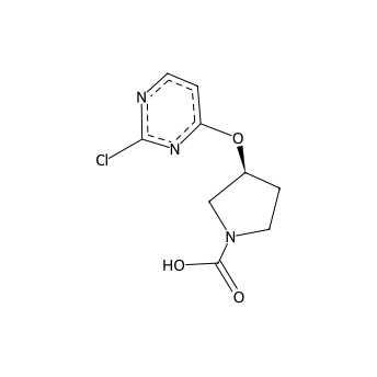 O=C(O)N1CC[C@H](Oc2ccnc(Cl)n2)C1